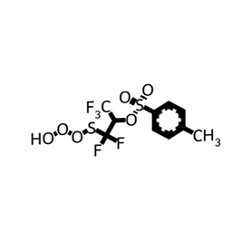 Cc1ccc(S(=O)(=O)OC(C(F)(F)F)C(F)(F)SOOO)cc1